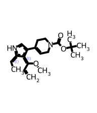 C=C/C(OC)=c1/c(C2=CCN(C(=O)OC(C)(C)C)CC2)c[nH]/c1=C/C